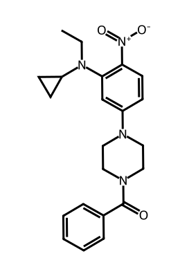 CCN(c1cc(N2CCN(C(=O)c3ccccc3)CC2)ccc1[N+](=O)[O-])C1CC1